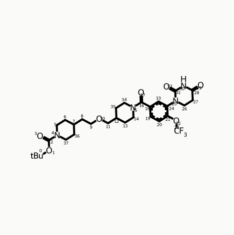 CC(C)(C)OC(=O)N1CCC(CCOCC2CCN(C(=O)c3ccc(OC(F)(F)F)c(N4CCC(=O)NC4=O)c3)CC2)CC1